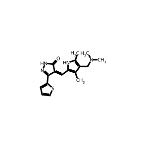 Cc1[nH]c(C=C2C(=O)NN=C2c2cccs2)c(C)c1CN(C)C